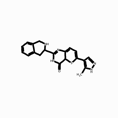 Cc1[nH]ncc1C1=CC=C2N=C(C3Cc4ccccc4CN3)NC(=O)C2S1